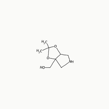 CC1(C)OC2CNCC2(CO)O1